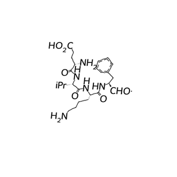 CC(C)[C@H](NC(=O)[C@@H](N)CCC(=O)O)C(=O)N[C@@H](CCCCN)C(=O)N[C@H]([C]=O)Cc1ccccc1